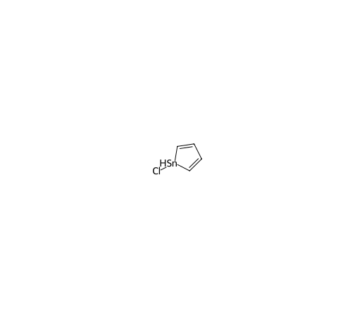 [Cl][SnH]1[CH]=CC=[CH]1